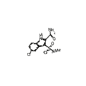 CNS(=O)(=O)c1c(C(N)=O)[nH]c2ccc(Cl)cc12